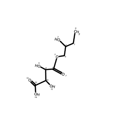 CCC(O)COC(=O)C(O)C(O)C(=O)O